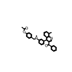 CC(=O)Oc1ccc(CN(C)c2cccc(-c3c(C(=O)c4ccccc4)cnc4c(C)cccc34)c2)cc1